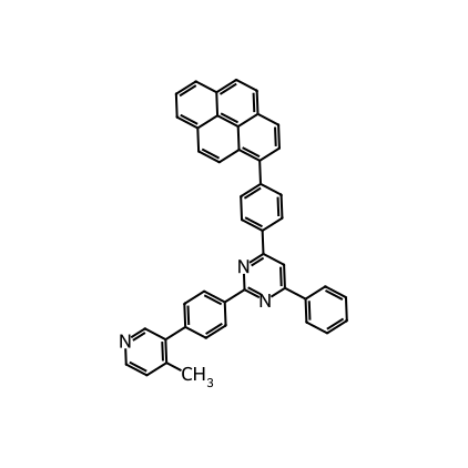 Cc1ccncc1-c1ccc(-c2nc(-c3ccccc3)cc(-c3ccc(-c4ccc5ccc6cccc7ccc4c5c67)cc3)n2)cc1